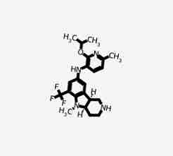 Cc1ccc(Nc2cc3c(c(C(F)(F)F)c2)N(C)[C@@H]2CCNC[C@H]32)c(OC(C)C)n1